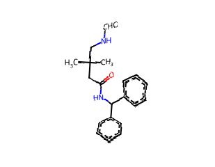 CC(C)(CNC=O)CC(=O)NC(c1ccccc1)c1ccccc1